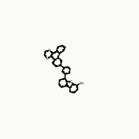 CC(C)(C)c1cccc2c1oc1c(-c3cccc(-c4ccc5c(c4)c4ccccc4c4nccnc54)c3)cccc12